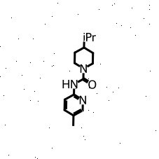 Cc1ccc(NC(=O)N2CCC(C(C)C)CC2)nc1